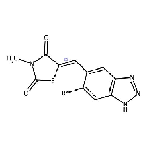 CN1C(=O)S/C(=C\c2cc3nn[nH]c3cc2Br)C1=O